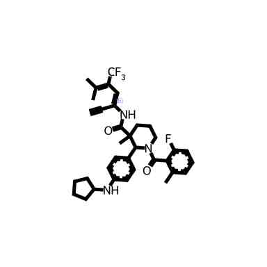 C#C/C(=C\C(=C(C)C)C(F)(F)F)NC(=O)C1(C)CCCN(C(=O)c2c(C)cccc2F)C1c1ccc(NC2CCCC2)cc1